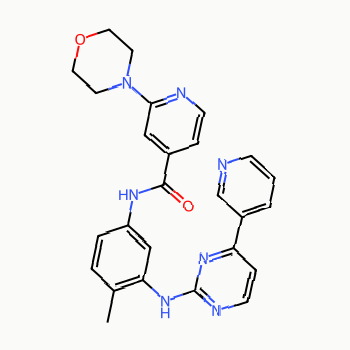 Cc1ccc(NC(=O)c2ccnc(N3CCOCC3)c2)cc1Nc1nccc(-c2cccnc2)n1